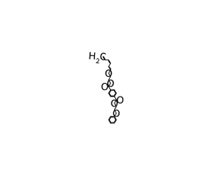 C=C/C=C\C=C\OCCOC(=O)c1ccc(C(=O)OCCOc2ccccc2)cc1